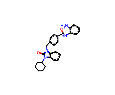 Nc1ccccc1NC(=O)c1ccc(Cn2c(=O)n(C3CCCCC3)c3ccccc32)cc1